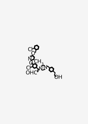 Cc1cc(/C(=C\C=O)N2CCN(Cc3ccc(CCO)cc3)CC2)cc(Cl)c1Oc1ccc(OCc2ccccc2Cl)cn1